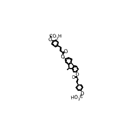 CC1c2cc(OC(=O)C=Cc3ccc(OC(=O)O)cc3)ccc2-c2ccc(OC(=O)C=Cc3ccc(OC(=O)O)cc3)cc21